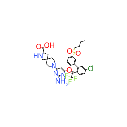 CCCCS(=O)(=O)c1cccc(-c2cc(Cl)ccc2[C@@H](Oc2cc(N3CCC4(CC3)CNC(C(=O)O)C4)nc(N)n2)C(F)(F)F)c1